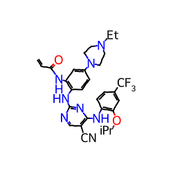 C=CC(=O)Nc1cc(N2CCN(CC)CC2)ccc1Nc1ncc(C#N)c(Nc2ccc(C(F)(F)F)cc2OC(C)C)n1